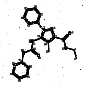 CCOC(=O)c1nn(-c2ccccc2)c(NC(=O)Oc2ccccc2)c1C